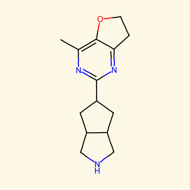 Cc1nc(C2CC3CNCC3C2)nc2c1OCC2